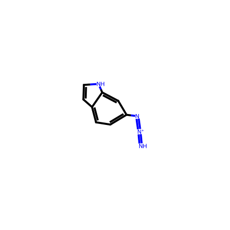 N=[N+]=Nc1ccc2cc[nH]c2c1